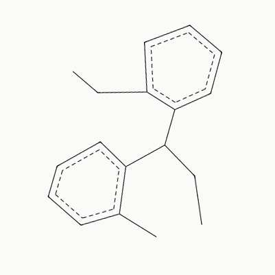 CCc1ccccc1C(CC)c1ccccc1C